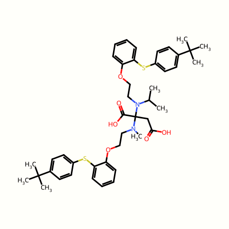 CC(C)N(CCOc1ccccc1Sc1ccc(C(C)(C)C)cc1)C(CC(=O)O)(C(=O)O)N(C)CCOc1ccccc1Sc1ccc(C(C)(C)C)cc1